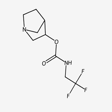 O=C(NCC(F)(F)F)OC1CN2CCC1C2